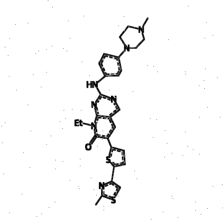 CCn1c(=O)c(-c2ccc(-c3csc(C)n3)s2)cc2cnc(Nc3ccc(N4CCN(C)CC4)cc3)nc21